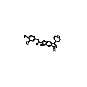 O=C(Cc1ccc(F)c(Cl)c1)c1cc2cc3c(C4CCOCC4)n[nH]c3cc2[nH]1